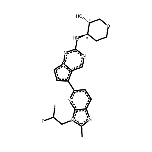 Cc1nc2ccc(-c3ccn4nc(N[C@@H]5CCOC[C@H]5O)ncc34)nc2n1CC(F)F